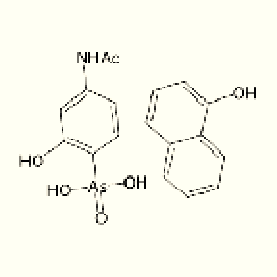 CC(=O)Nc1ccc([As](=O)(O)O)c(O)c1.Oc1cccc2ccccc12